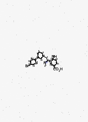 C/N=C(/Cc1cccc(-c2ncc(Br)cn2)c1)n1nc(C(=O)O)ccc1=N